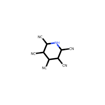 N#CC1NC(C#N)C(C#N)C(C#N)C1C#N